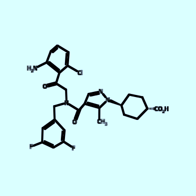 Cc1c(C(=O)N(CC(=O)c2c(N)cccc2Cl)Cc2cc(F)cc(F)c2)cnn1[C@H]1CC[C@H](C(=O)O)CC1